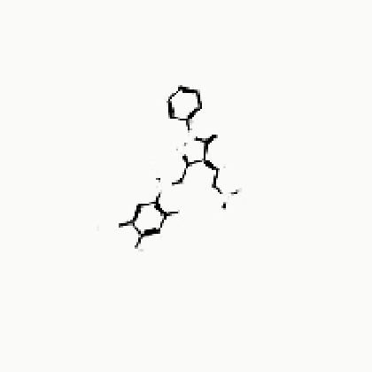 Cc1cc([S+]([O-])CC2=NN(c3ccccc3)C(=O)/C2=C/CN(C)C)c(Cl)cc1Cl